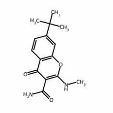 CNc1oc2cc(C(C)(C)C)ccc2c(=O)c1C(N)=O